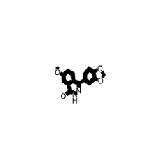 COc1ccc2c(-c3ccc4c(c3)OCO4)n[nH]c(=O)c2c1